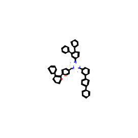 c1ccc(-c2ccc(-c3cccc(-c4nc(-c5ccc(-c6ccccc6)c(-c6ccccc6)c5)nc(-c5ccc6c(c5)oc5cccc(-c7ccccc7)c56)n4)c3)cc2)cc1